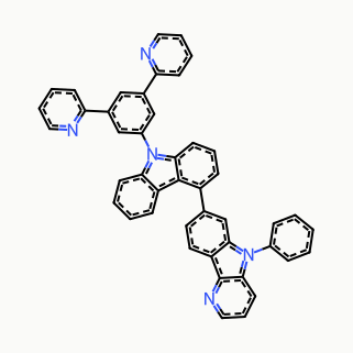 c1ccc(-n2c3cc(-c4cccc5c4c4ccccc4n5-c4cc(-c5ccccn5)cc(-c5ccccn5)c4)ccc3c3ncccc32)cc1